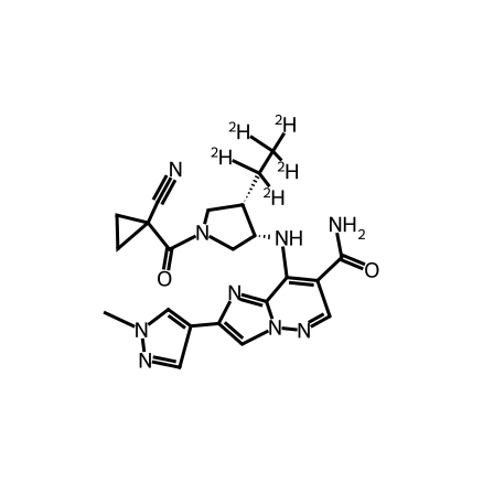 [2H]C([2H])([2H])C([2H])([2H])[C@H]1CN(C(=O)C2(C#N)CC2)C[C@H]1Nc1c(C(N)=O)cnn2cc(-c3cnn(C)c3)nc12